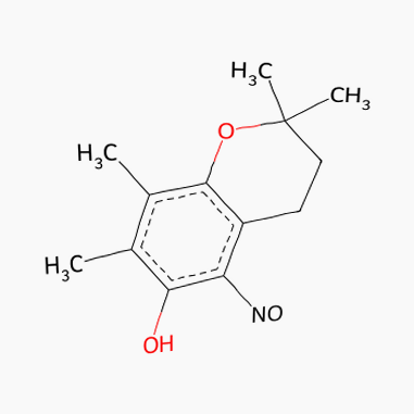 Cc1c(C)c2c(c(N=O)c1O)CCC(C)(C)O2